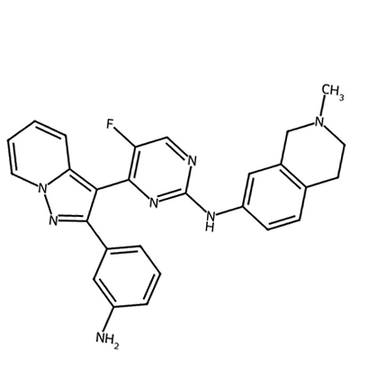 CN1CCc2ccc(Nc3ncc(F)c(-c4c(-c5cccc(N)c5)nn5ccccc45)n3)cc2C1